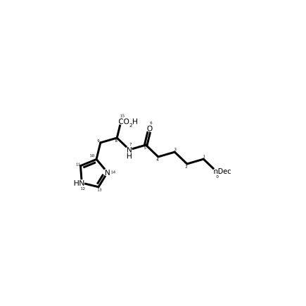 CCCCCCCCCCCCCCC(=O)NC(Cc1c[nH]cn1)C(=O)O